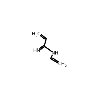 C=CNC(=N)C=C